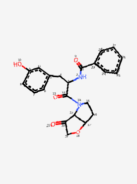 O=C(NC(Cc1cccc(O)c1)C(=O)N1CCC2OCC(=O)C21)c1ccccc1